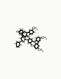 Cc1ccc2c(c1)c1cc(C)ccc1n2-c1cc(-n2c3ccc(C)cc3c3cc(C)ccc32)c(-c2nc(-c3ccccc3)cc(-c3ccccc3)n2)cc1C#N